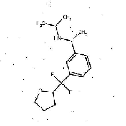 CC(C)N[C@H](C)c1cccc(C(F)(F)C2CCCO2)c1